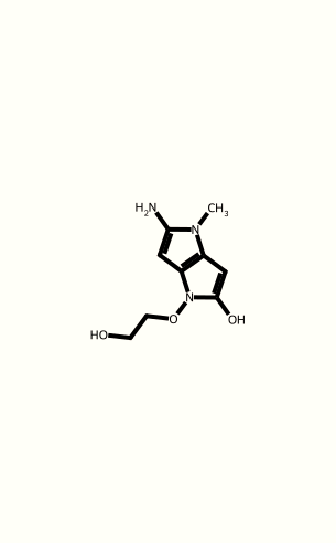 Cn1c(N)cc2c1cc(O)n2OCCO